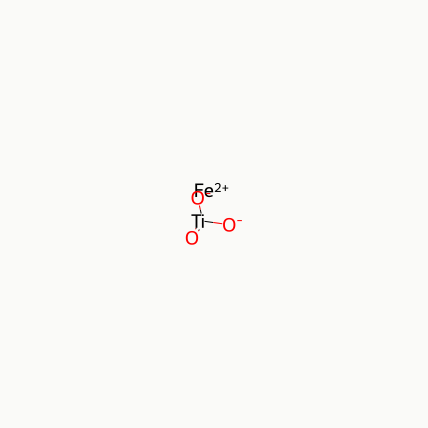 [Fe+2].[O]=[Ti]([O-])[O-]